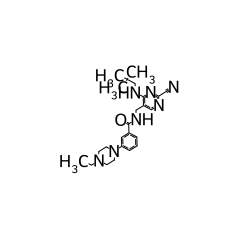 CCN1CCN(c2cccc(C(=O)NCc3cnc(C#N)nc3NCC(C)(C)C)c2)CC1